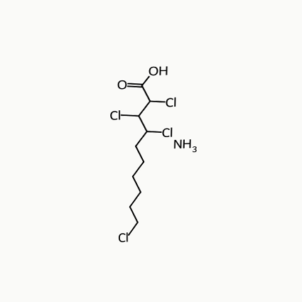 N.O=C(O)C(Cl)C(Cl)C(Cl)CCCCCCCl